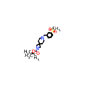 CC(C)(C)OC(=O)N1CC2(CCN(Cc3cccc(S(C)(=O)=O)c3)CC2)C1